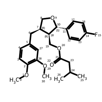 COc1ccc(C[C@H]2CO[C@H](c3ccc(F)cc3)[C@H]2COC(=O)CC(C)C)cc1OC